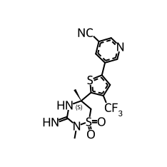 CN1C(=N)N[C@](C)(c2sc(-c3cncc(C#N)c3)cc2C(F)(F)F)CS1(=O)=O